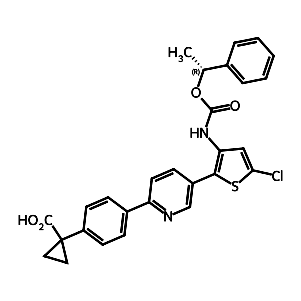 C[C@@H](OC(=O)Nc1cc(Cl)sc1-c1ccc(-c2ccc(C3(C(=O)O)CC3)cc2)nc1)c1ccccc1